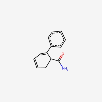 NC(=O)C1CC=CC=C1c1ccccc1